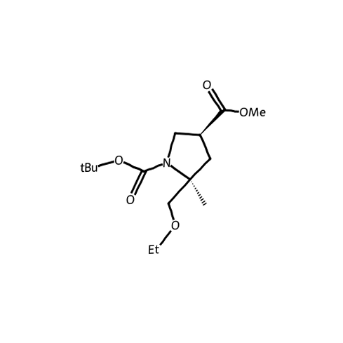 CCOC[C@]1(C)C[C@H](C(=O)OC)CN1C(=O)OC(C)(C)C